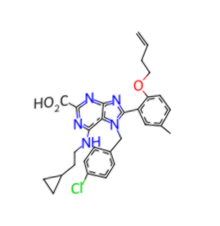 C=CCCOc1ccc(C)cc1-c1nc2nc(C(=O)O)nc(NCCC3CC3)c2n1Cc1ccc(Cl)cc1